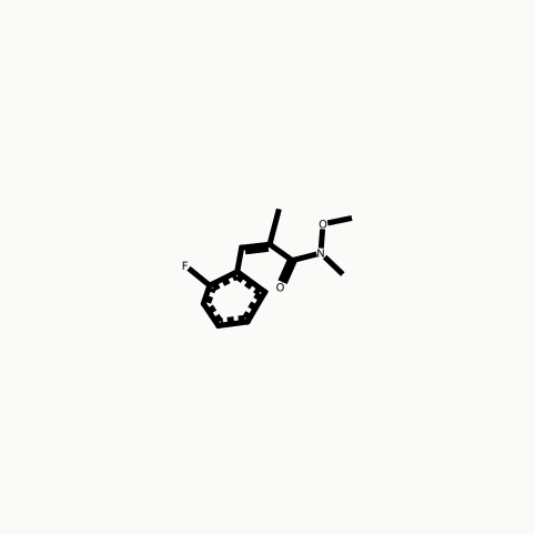 CON(C)C(=O)C(C)=Cc1ccccc1F